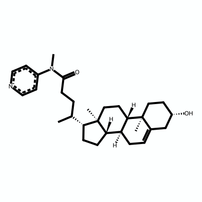 CC(CCC(=O)N(C)c1ccncc1)[C@H]1CC[C@H]2[C@@H]3CC=C4C[C@@H](O)CC[C@]4(C)[C@H]3CC[C@]12C